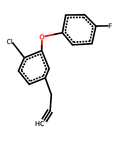 C#CCc1ccc(Cl)c(Oc2ccc(F)cc2)c1